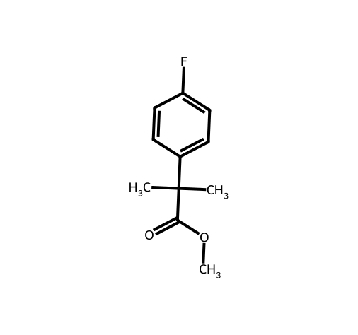 COC(=O)C(C)(C)c1ccc(F)cc1